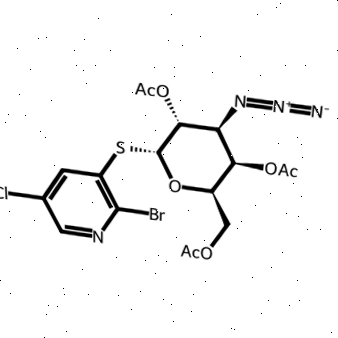 CC(=O)OC[C@H]1O[C@H](Sc2cc(Cl)cnc2Br)[C@H](OC(C)=O)[C@@H](N=[N+]=[N-])[C@H]1OC(C)=O